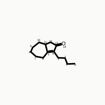 CCCCC1=C2CCCCCC2CC1=O